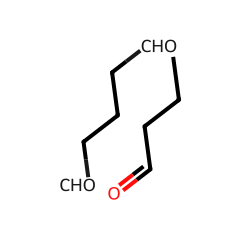 CCCC=O.O=CCCCC=O